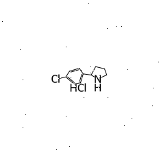 Cl.Clc1ccc(C2CCCN2)cc1